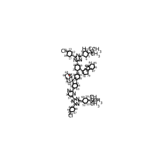 C[Si](C)(C)c1ccc(-c2nc(-c3ccc(Cl)cc3)nc(-c3ccc(-c4ccc5c(c4)C4(c6cc(-c7nccc(-c8nc(-c9ccc(Cl)cc9)nc(-c9ccc([Si](C)(C)C)cc9)n8)n7)ccc6-5)C5CC6CC(C5)CC4C6)c(-c4cccc5c4sc4ccccc45)c3)n2)cc1